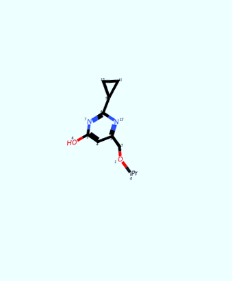 CC(C)OCc1cc(O)nc(C2CC2)n1